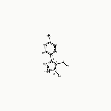 CCc1c(-c2ccc(Br)cc2)nnn1C